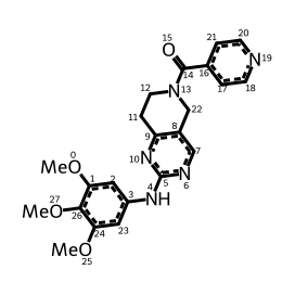 COc1cc(Nc2ncc3c(n2)CCN(C(=O)c2ccncc2)C3)cc(OC)c1OC